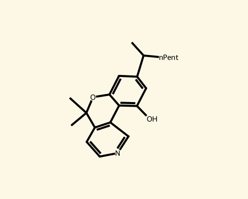 CCCCCC(C)c1cc(O)c2c(c1)OC(C)(C)c1ccncc1-2